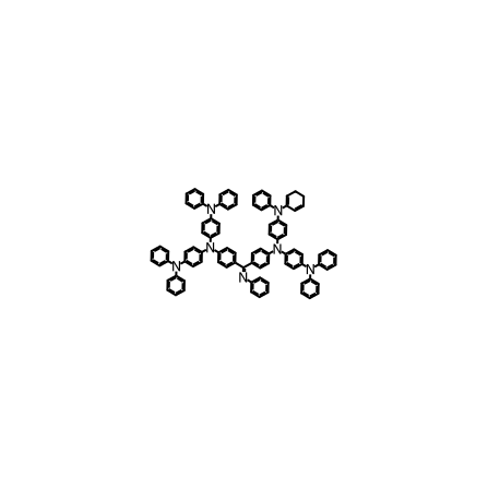 C1=CC(N(c2ccccc2)c2ccc(N(c3ccc(/C(=N\c4ccccc4)c4ccc(N(c5ccc(N(c6ccccc6)c6ccccc6)cc5)c5ccc(N(c6ccccc6)c6ccccc6)cc5)cc4)cc3)c3ccc(N(c4ccccc4)c4ccccc4)cc3)cc2)=CCC1